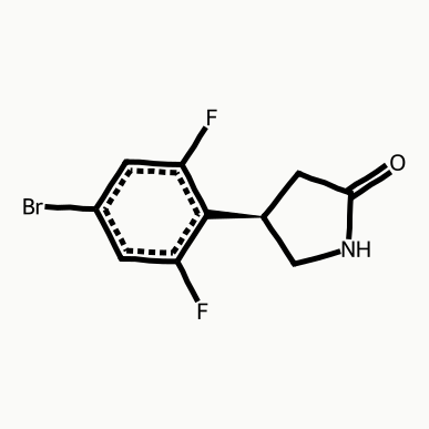 O=C1C[C@H](c2c(F)cc(Br)cc2F)CN1